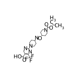 CC(C)OC(=O)N1CCC(ON=C2CCN(c3ncc(C(=O)O)c(C(F)(F)F)n3)CC2)CC1